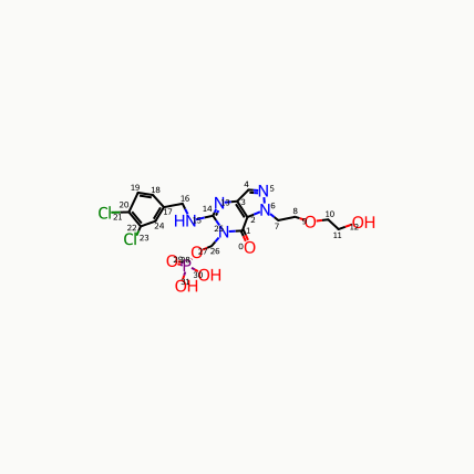 O=c1c2c(cnn2CCOCCO)nc(NCc2ccc(Cl)c(Cl)c2)n1COP(=O)(O)O